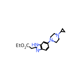 CCOC(=O)Cc1nc2ccc(N3CCN(C4CC4)CC3)cc2[nH]1